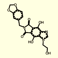 O=C1c2c(c(O)c3c(ncn3CCO)c2O)C(=O)N1Cc1ccc2c(c1)OCO2